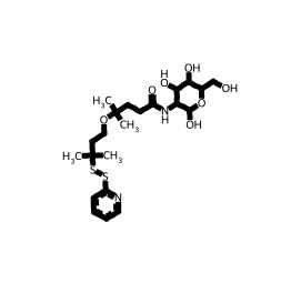 CC(C)(CCC(=O)NC1C(O)OC(CO)C(O)C1O)OCCC(C)(C)SSc1ccccn1